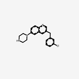 Clc1cccc(Cc2cnc3ccc(N4CCNCC4)cc3c2)c1